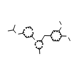 COc1ccc(Cc2nc(N)nn2-c2cc(OC(C)C)ncn2)cc1OC